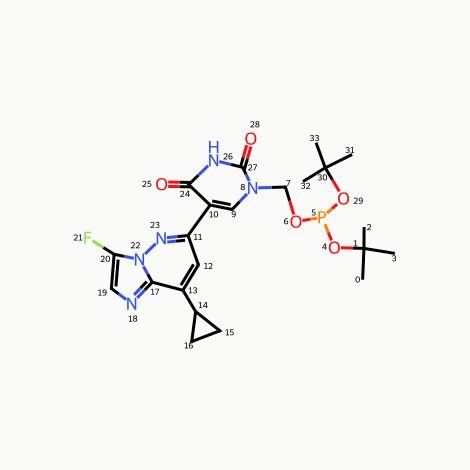 CC(C)(C)OP(OCn1cc(-c2cc(C3CC3)c3ncc(F)n3n2)c(=O)[nH]c1=O)OC(C)(C)C